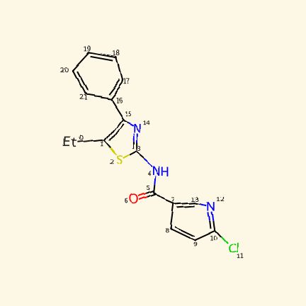 CCc1sc(NC(=O)c2ccc(Cl)nc2)nc1-c1ccccc1